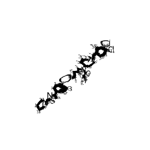 O=C(N(CCCCOc1ccc(-c2csc(N3CCCC3)n2)cc1)C1CCN(Cc2ccc(Cl)c(Cl)c2)CC1)C(F)(F)F